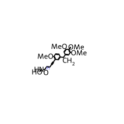 C=C(c1ccc(OC)c(C#C/C=C/C(=O)NO)c1)c1cc(OC)c(OC)c(OC)c1